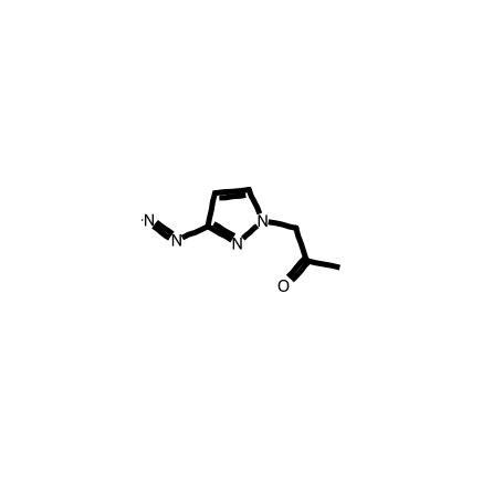 CC(=O)Cn1ccc(N=[N])n1